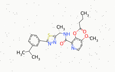 CCCC(=O)Oc1c(OC)ccnc1C(=O)N[C@@H](C)c1nnc(-c2cccc(C(C)C)c2)s1